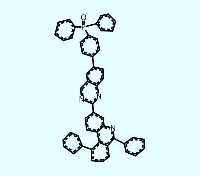 O=P(c1ccccc1)(c1ccccc1)c1ccc(-c2ccc3nc(-c4ccc5c(c4)nc(-c4ccccc4)c4cccc(-c6ccccc6)c45)ncc3c2)cc1